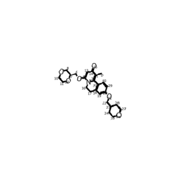 Cc1c2n(c(OC[C@@H]3COCCO3)cc1=O)CCc1cc(OCC3CCOCC3)ccc1-2